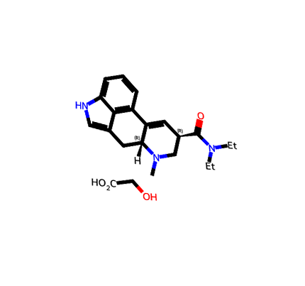 CCN(CC)C(=O)[C@@H]1C=C2c3cccc4[nH]cc(c34)C[C@H]2N(C)C1.O=C(O)CO